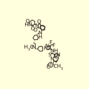 C[C@@H]1COCCN1c1ccn2ncc(C(=S)Nc3cn([C@H]4CC[C@H](CN(C)CC[C@H]5CC[C@H](CNc6cccc7c6C(=O)N(C6CCC(=O)NC6=O)C7=O)CC5)CC4)nc3C(F)F)c2n1